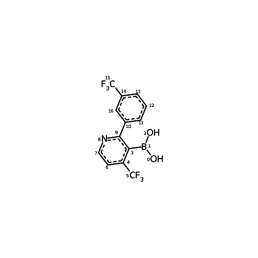 OB(O)c1c(C(F)(F)F)ccnc1-c1cccc(C(F)(F)F)c1